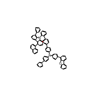 c1ccc(-c2ccc(N(c3ccc(-c4ccc(-c5ccccc5-n5c6cccc(-c7cccc8ccccc78)c6c6cccc(-c7ccccc7)c65)cc4)cc3)c3ccc(-c4cccc5c4oc4ccccc45)cc3)cc2)cc1